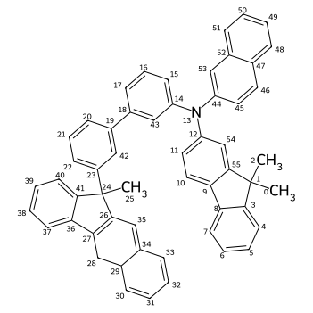 CC1(C)c2ccccc2-c2ccc(N(c3cccc(-c4cccc(C5(C)C6=C(CC7C=CC=CC7=C6)c6ccccc65)c4)c3)c3ccc4ccccc4c3)cc21